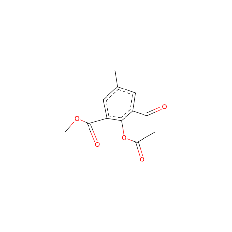 COC(=O)c1cc(C)cc(C=O)c1OC(C)=O